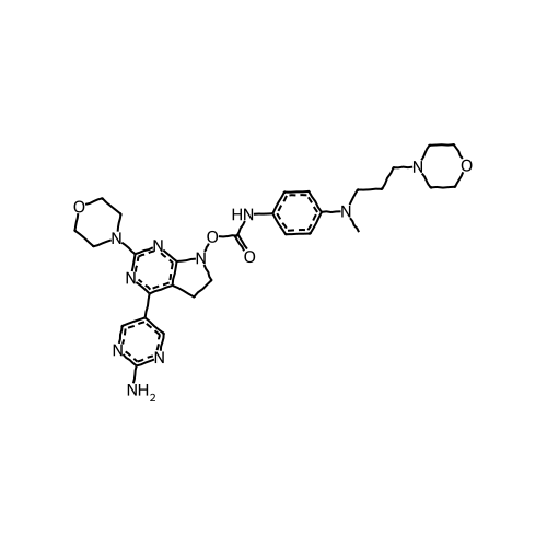 CN(CCCN1CCOCC1)c1ccc(NC(=O)ON2CCc3c(-c4cnc(N)nc4)nc(N4CCOCC4)nc32)cc1